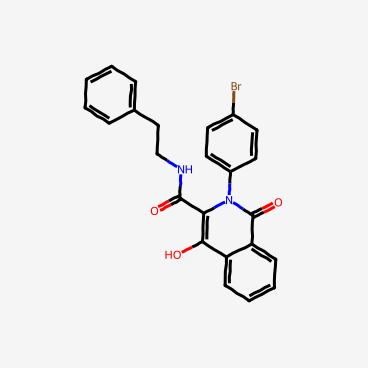 O=C(NCCc1ccccc1)c1c(O)c2ccccc2c(=O)n1-c1ccc(Br)cc1